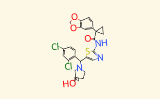 O=C(Nc1ncc(C(c2ccc(Cl)cc2Cl)N2CC[C@@H](O)C2)s1)C1(c2ccc3c(c2)OCO3)CC1